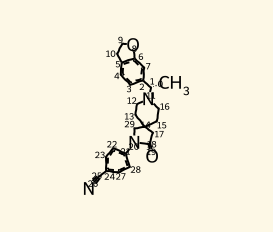 C[C@@H](c1ccc2c(c1)OCC2)N1CCC2(CC1)CC(=O)N(c1ccc(C#N)cc1)C2